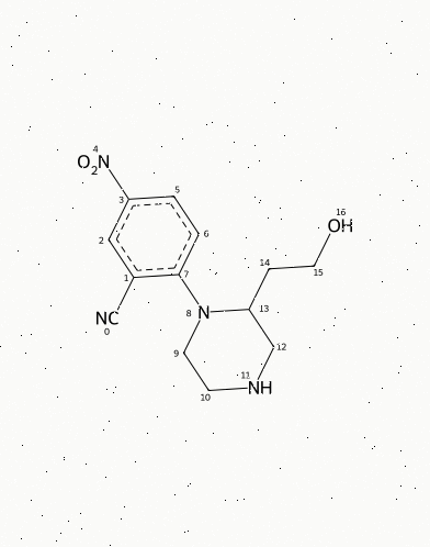 N#Cc1cc([N+](=O)[O-])ccc1N1CCNCC1CCO